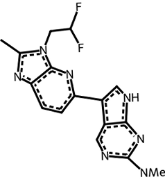 CNc1ncc2c(-c3ccc4nc(C)n(CC(F)F)c4n3)c[nH]c2n1